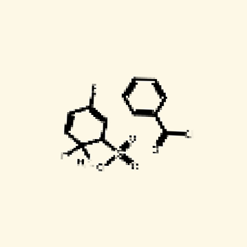 CC1(F)C=CC(F)=CC1S(=O)(=O)Cl.O=C(Cl)c1ccccc1